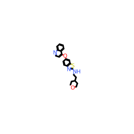 c1ccc2c(Oc3ccc4nc(NCCC5CCOCC5)sc4c3)ccnc2c1